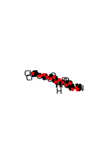 COC(=O)C(Cc1ccc(-c2ccnc(C)c2C)cc1)NC(=O)[C@@H]1Cc2cc3c(cc2CN1)O[C@@H](c1ccc(OCc2ccc(Cl)c(Cl)c2)cc1)CO3